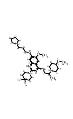 COc1cc2c(NCC(C)N3CCC(OC)CC3)nc(N3CCC(F)(F)CC3)nc2cc1OCCCN1CCCC1